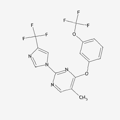 Cc1cnc(-n2cnc(C(F)(F)F)c2)nc1Oc1cccc(OC(F)(F)F)c1